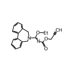 C#CCOC(=O)N=C(OCC)N1Cc2ccccc2-c2ccccc2C1